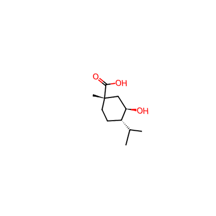 CC(C)[C@@H]1CC[C@](C)(C(=O)O)C[C@H]1O